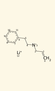 C=CC[N-]CCc1ccccc1.[Li+]